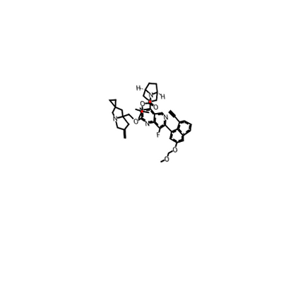 C#Cc1cccc2cc(OCOC)cc(-c3ncc4c(N5C[C@H]6CC[C@@H](C5)N6C(=O)OC(C)(C)C)nc(OCC56CC(=C)CN5CC5(CC5)C6)nc4c3F)c12